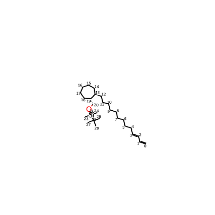 C=C/C=C/CCCCCCCCC[C@@H]1CCCCC[C@H]1CO[Si](C)(C)C(C)(C)C